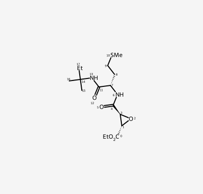 CCOC(=O)[C@H]1O[C@@H]1C(=O)N[C@@H](CCSC)C(=O)NC(C)(C)CC